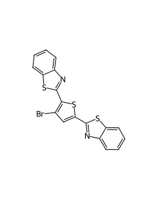 Brc1cc(-c2nc3ccccc3s2)sc1-c1nc2ccccc2s1